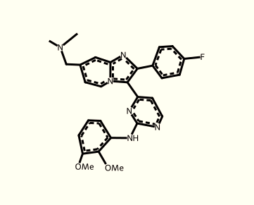 COc1cccc(Nc2nccc(-c3c(-c4ccc(F)cc4)nc4cc(CN(C)C)ccn34)n2)c1OC